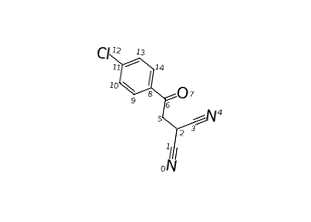 N#CC(C#N)CC(=O)c1ccc(Cl)cc1